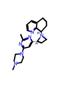 Cc1nc([C@H]2CCN2[C@@H]2CCCc3cccnc32)cc(N2CCN(C)CC2)n1